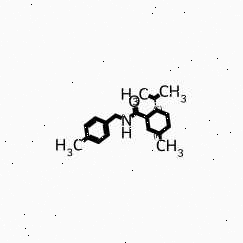 Cc1ccc(CNC(=O)C2C[C@H](C)CC[C@H]2C(C)C)cc1